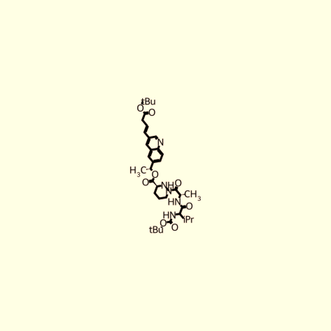 CC(C)C(NC(=O)OC(C)(C)C)C(=O)N[C@@H](C)C(=O)N1CCC[C@@H](C(=O)O[C@H](C)c2ccc3ncc(/C=C/CC(=O)OC(C)(C)C)cc3c2)N1